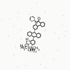 CC1(C)c2ccc(-c3c4ccccc4c(-c4ccc5c(c4)c4ccccc4c(=O)n5C4C=CC=CC4)c4ccccc34)cc2C(C)(C)C1(C)C